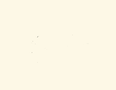 CC1(C)C2CCC1(CCCO)C(=O)C2